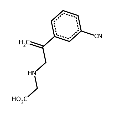 C=C(CNCC(=O)O)c1cccc(C#N)c1